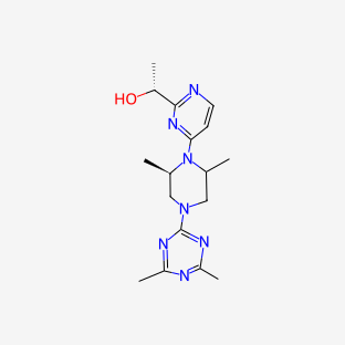 Cc1nc(C)nc(N2CC(C)N(c3ccnc([C@@H](C)O)n3)[C@H](C)C2)n1